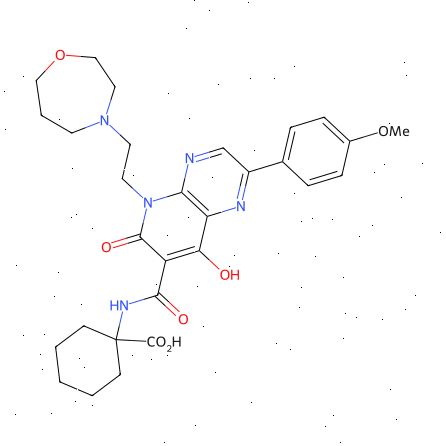 COc1ccc(-c2cnc3c(n2)c(O)c(C(=O)NC2(C(=O)O)CCCCC2)c(=O)n3CCN2CCCOCC2)cc1